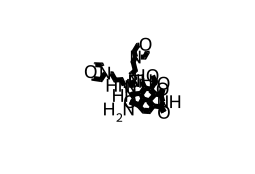 N=C(c1c(Br)c(C(=O)O)c2c3c(ccc(C(N)=O)c13)C(=O)NC2=O)N(NCCCN1CCOCC1)NCCCN1CCOCC1